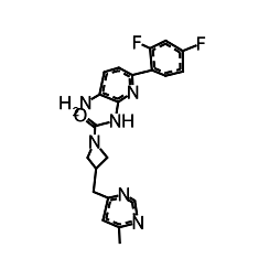 Cc1cc(CC2CN(C(=O)Nc3nc(-c4ccc(F)cc4F)ccc3N)C2)ncn1